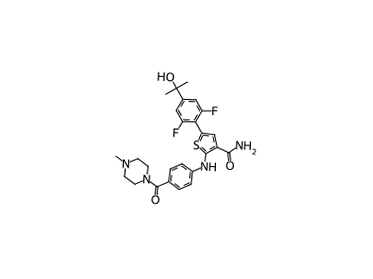 CN1CCN(C(=O)c2ccc(Nc3sc(-c4c(F)cc(C(C)(C)O)cc4F)cc3C(N)=O)cc2)CC1